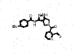 CC(C)(C)c1ccc(C(=O)Nc2n[nH]c3c2CN(C(=O)c2cccnc2C=S)C3)cc1